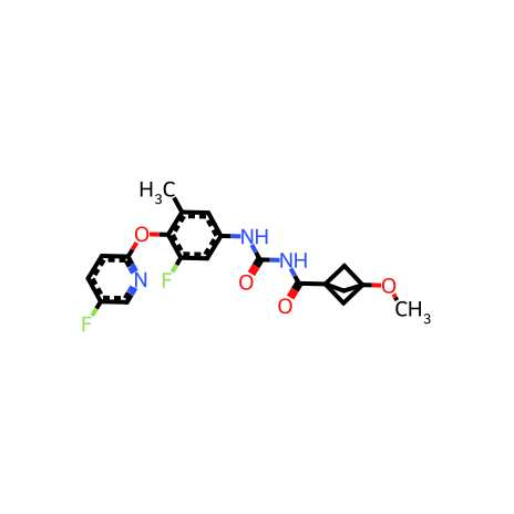 COC12CC(C(=O)NC(=O)Nc3cc(C)c(Oc4ccc(F)cn4)c(F)c3)(C1)C2